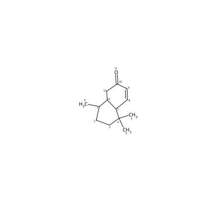 CC1CCC(C)(C)C2C=CC(=O)CC12